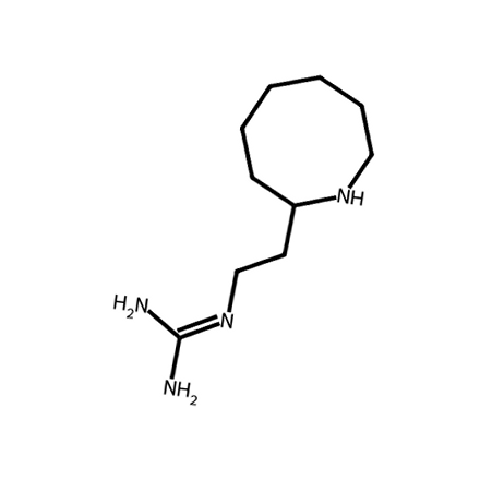 NC(N)=NCCC1CCCCCCN1